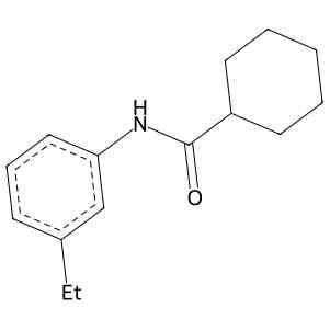 CCc1cccc(NC(=O)C2CCCCC2)c1